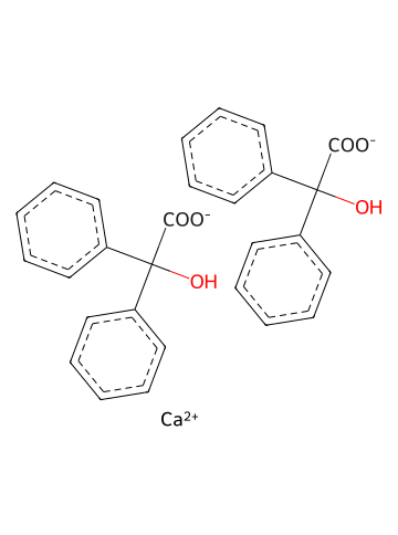 O=C([O-])C(O)(c1ccccc1)c1ccccc1.O=C([O-])C(O)(c1ccccc1)c1ccccc1.[Ca+2]